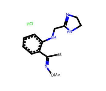 CC/C(=N\OC)c1ccccc1NCC1=NCCN1.Cl